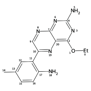 CCOc1nc(N)nc2ncc(-c3cc(C)ccc3N)nc12